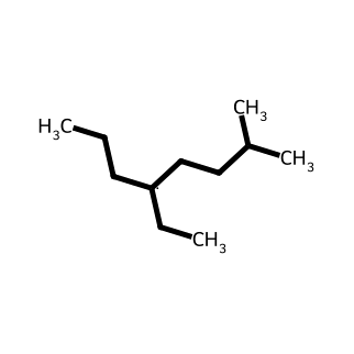 CCC[C](CC)CCC(C)C